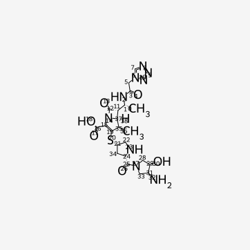 C[C@@H](NC(=O)Cn1cnnn1)[C@H]1C(=O)N2C(C(=O)O)=C(S[C@@H]3CN[C@H](C(=O)N4C[C@@H](O)[C@@H](N)C4)C3)[C@H](C)[C@H]12